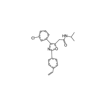 C=Cc1ccc(-c2nc(-c3cccc(Cl)c3)c(CC(=O)NC(C)C)o2)cc1